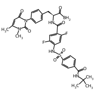 BC(=O)[C@H](Cc1ccc(-n2c(=O)cc(C)n(C)c2=O)cc1)NC(=O)c1cc(F)c(NS(=O)(=O)c2ccc(C(=O)NC(C)(C)C)cc2)cc1F